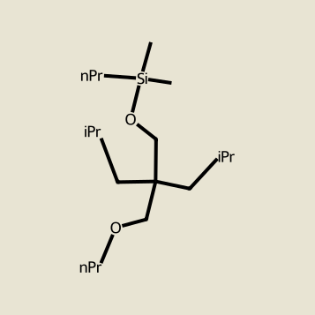 CCCOCC(CO[Si](C)(C)CCC)(CC(C)C)CC(C)C